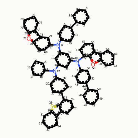 c1ccc(-c2ccc(N(c3cc(N(c4ccccc4)c4ccc(-c5cccc6c5sc5ccccc56)cc4)cc(N(c4ccc(-c5ccccc5)cc4)c4cccc5c4oc4ccccc45)c3)c3ccc4oc5ccccc5c4c3)cc2)cc1